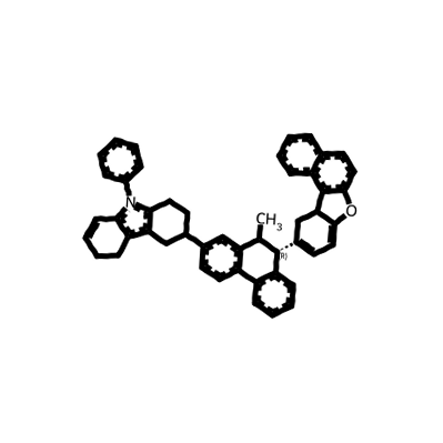 CC1c2cc(C3CCc4c(c5c(n4-c4ccccc4)C=CCC5)C3)ccc2-c2ccccc2[C@H]1C1=CC=C2Oc3ccc4ccccc4c3C2C1